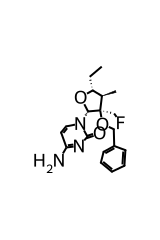 CC[C@H]1O[C@@H](n2ccc(N)nc2=O)[C@](CF)(OCc2ccccc2)[C@@H]1C